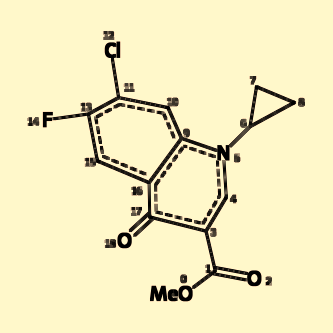 COC(=O)c1cn(C2CC2)c2cc(Cl)c(F)cc2c1=O